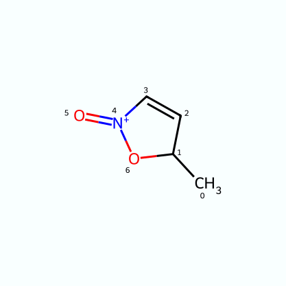 CC1C=C[N+](=O)O1